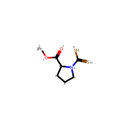 CC(C)OC(=O)C1CCCN1C(=S)S